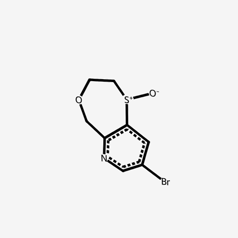 [O-][S+]1CCOCc2ncc(Br)cc21